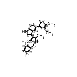 COc1cc(-c2cnc3[nH]cc(-c4c(C)nn(Cc5cccc(F)c5)c4C)c3c2)cnc1N